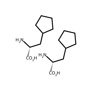 N[C@H](CC1CCCC1)C(=O)O.N[C@H](CC1CCCC1)C(=O)O